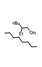 CCCCC(CC)CO.CCCCCCCC